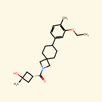 CCOc1cc(C2CCC3(CC2)CN(C(=O)[C@H]2C[C@@](C)(O)C2)C3)ccc1C